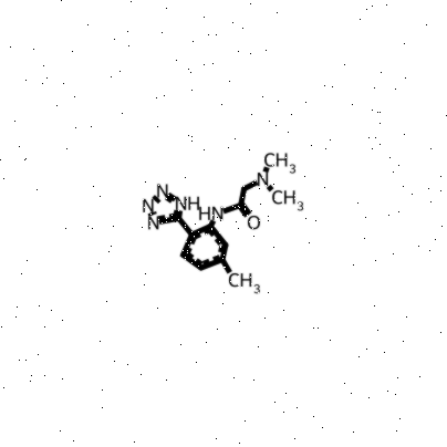 Cc1ccc(-c2nnn[nH]2)c(NC(=O)CN(C)C)c1